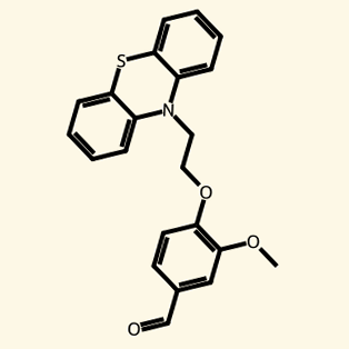 COc1cc(C=O)ccc1OCCN1c2ccccc2Sc2ccccc21